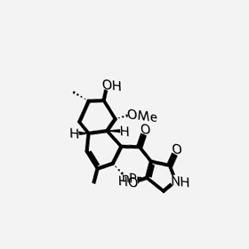 CCC[C@@H]1C(C)=C[C@@H]2C[C@H](C)C(O)[C@H](OC)[C@@H]2C1C(=O)C1=C(O)CNC1=O